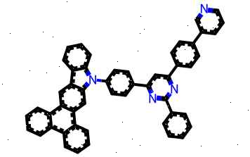 c1ccc(-c2nc(-c3ccc(-c4cccnc4)cc3)cc(-c3ccc(-n4c5ccccc5c5cc6c7ccccc7c7ccccc7c6cc54)cc3)n2)cc1